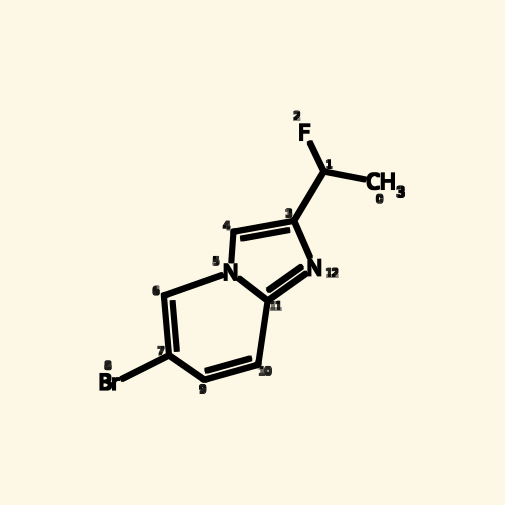 CC(F)c1cn2cc(Br)ccc2n1